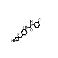 O=C(Nc1ccc(CC2(F)CNC2)cc1)Nc1cccc(Cl)c1